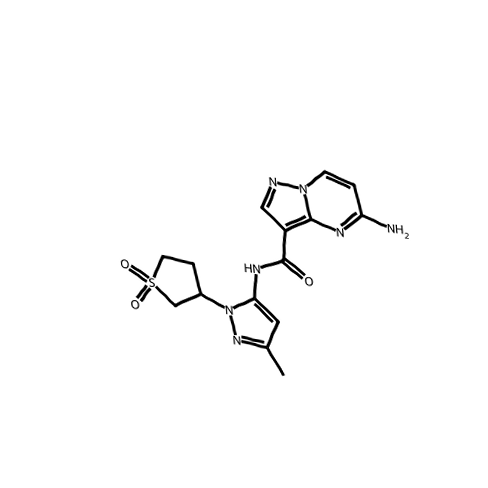 Cc1cc(NC(=O)c2cnn3ccc(N)nc23)n(C2CCS(=O)(=O)C2)n1